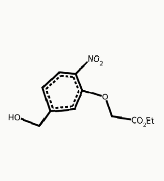 CCOC(=O)COc1cc(CO)ccc1[N+](=O)[O-]